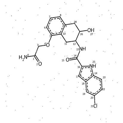 NC(=O)COc1cccc2c1CC(NC(=O)c1cc3cc(Cl)ccc3[nH]1)C(O)C2